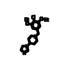 CCOc1cc(CN2CCC(N3C=NCC3)CC2)cc(OCC)c1Cl